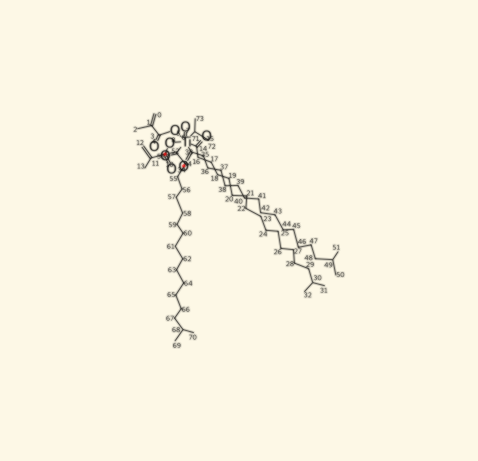 C=C(C)C(=O)[O][Ti](=[O])([O]C(=O)C(=C)C)([C](=O)CCCCCCCCCCCCCCC(C)C)([C](=O)CCCCCCCCCCCCCCC(C)C)([C](=O)CCCCCCCCCCCCCCC(C)C)[CH](C)C